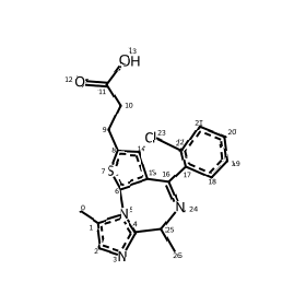 Cc1cnc2n1-c1sc(CCC(=O)O)cc1C(c1ccccc1Cl)=NC2C